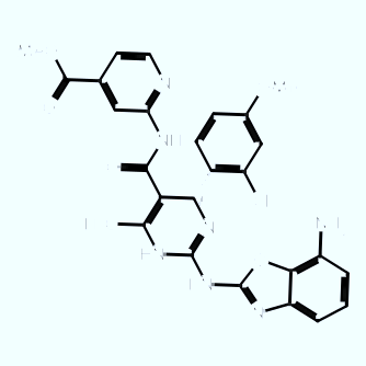 COC(=O)c1ccnc(NC(=O)C2=C(C)NC(Nc3nc4cccc(N)c4o3)=N[C@H]2c2ccc(OC)cc2Cl)c1